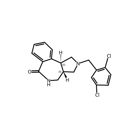 O=C1NC[C@H]2CN(Cc3cc(Cl)ccc3Cl)C[C@@H]2c2ccccc21